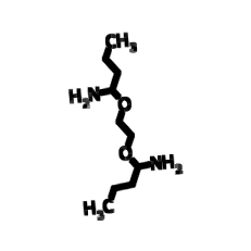 CCCC(N)OCCOC(N)CCC